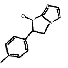 [O-][S+]1c2nccn2CC1c1ccc(F)cc1